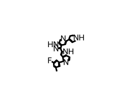 Cc1cc(F)cc(-c2nccc3[nH]c(-c4n[nH]c5cnc(C6=CCNCC6)cc45)cc23)c1